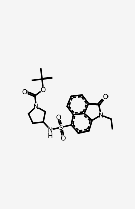 CCN1C(=O)c2cccc3c(S(=O)(=O)NC4CCN(C(=O)OC(C)(C)C)C4)ccc1c23